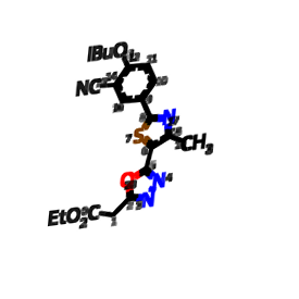 CCOC(=O)Cc1nnc(-c2sc(-c3ccc(OCC(C)C)c(C#N)c3)nc2C)o1